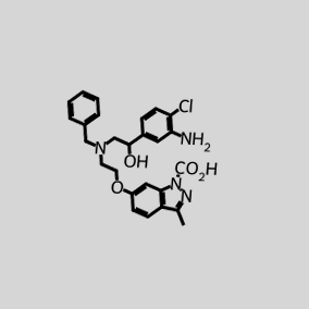 Cc1nn(C(=O)O)c2cc(OCCN(Cc3ccccc3)CC(O)c3ccc(Cl)c(N)c3)ccc12